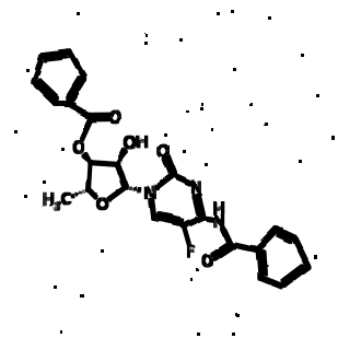 C[C@H]1O[C@@H](n2cc(F)c(NC(=O)c3ccccc3)nc2=O)[C@H](O)[C@@H]1OC(=O)c1ccccc1